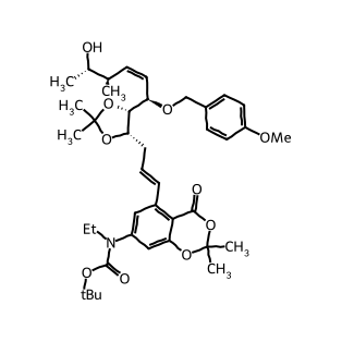 CCN(C(=O)OC(C)(C)C)c1cc(/C=C/C[C@@H]2OC(C)(C)O[C@@H]2[C@@H](/C=C\[C@@H](C)[C@H](C)O)OCc2ccc(OC)cc2)c2c(c1)OC(C)(C)OC2=O